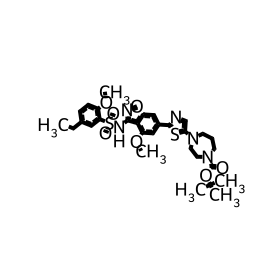 CCc1ccc(OC)c(S(=O)(=O)Nc2noc3cc(-c4ncc(N5CCCN(C(=O)OC(C)(C)C)CC5)s4)cc(OC)c23)c1